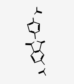 CC(=O)Oc1ccc(N2C(=O)c3ccc(OC(C)=O)cc3C2=O)cc1